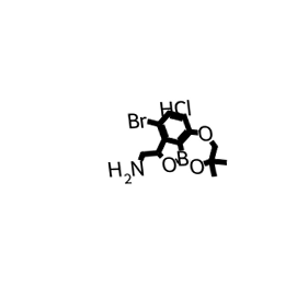 CC1(C)COc2ccc(Br)c3c2B(OC3CN)O1.Cl